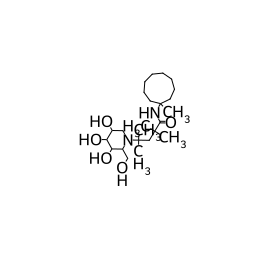 CC1(NC(=O)C(C)(C)CC(C)(C)N2CC(O)C(O)C(O)C2CO)CCCCCCCC1